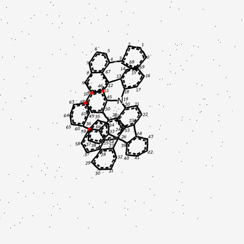 c1ccc(-c2cccc3cccc(-c4ccccc4N(c4ccc5c(c4)C(c4ccccc4)(c4ccccc4)c4ccccc4-5)c4ccccc4-c4cccc5cccc(-c6ccccc6)c45)c23)cc1